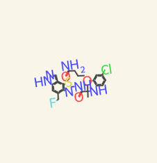 CC(C)(Nc1ccc(Cl)cc1OCCCC(N)=O)C(=O)Nc1nc2c(CF)cc3[nH]ncc3c2s1